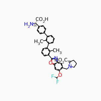 Cc1c(-c2ccc([C@H](N)C(=O)O)cc2)cccc1-c1cccc(-c2nc3cc(CN4CCC[C@H]4C(=O)O)c(OC(F)F)cc3o2)c1C